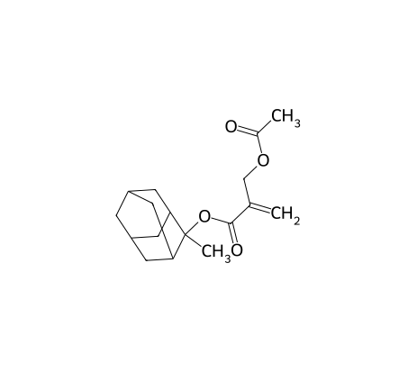 C=C(COC(C)=O)C(=O)OC1(C)C2CC3CC(C2)CC1C3